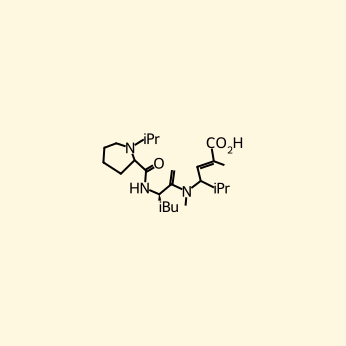 C=C([C@H](NC(=O)C1CCCCN1C(C)C)C(C)CC)N(C)C(/C=C(\C)C(=O)O)C(C)C